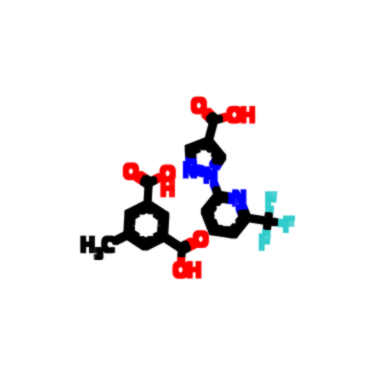 Cc1cc(C(=O)O)cc(C(=O)O)c1.O=C(O)c1cnn(-c2cccc(C(F)(F)F)n2)c1